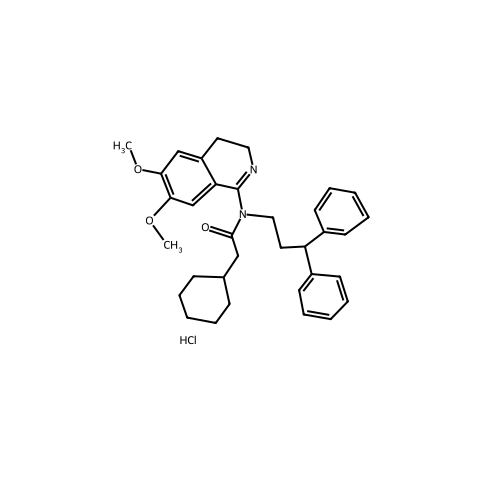 COc1cc2c(cc1OC)C(N(CCC(c1ccccc1)c1ccccc1)C(=O)CC1CCCCC1)=NCC2.Cl